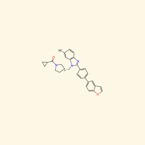 N#Cc1ccc2nc(-c3ccc(-c4ccc5occc5c4)cc3)n(C[C@@H]3CCN(C(=O)C4CC4)C3)c2c1